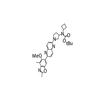 COc1c(-c2ccc3nc(N4CCC(N(C(=O)OC(C)(C)C)C5CCC5)C4)ccc3n2)cc2oc(C)nc2c1C